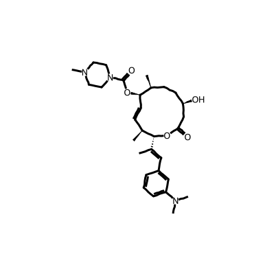 C/C(=C\c1cccc(N(C)C)c1)[C@H]1OC(=O)C[C@H](O)CC[C@H](C)[C@H](OC(=O)N2CCN(C)CC2)/C=C/[C@@H]1C